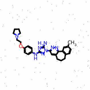 Cc1ccc2c(c1)-c1nnc(-n3nc(Nc4ccc(OCCN5CCCC5)cc4)nc3N)cc1CCC2